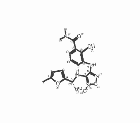 Cc1ccc([C@H](Nc2c(Nc3cccc(C(=O)N(C)C)c3O)no[n+]2[O-])C(C)(C)C)o1